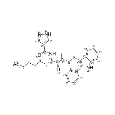 CC(=O)CCCCC[C@H](NC(=O)c1cn[nH]c1)C(=O)NCCc1c(-c2ccccc2)[nH]c2ccccc12